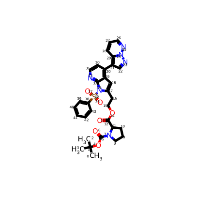 CC(C)(C)OC(=O)N1CCCC1C(=O)OCCc1cc2c(-c3cnn4ncccc34)ccnc2n1S(=O)(=O)c1ccccc1